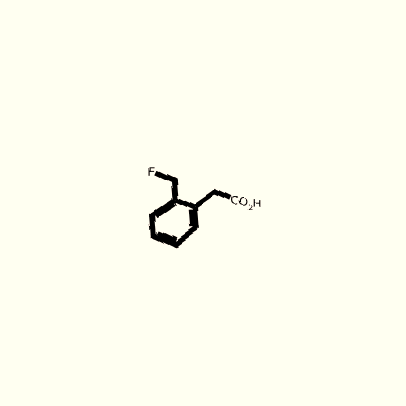 O=C(O)Cc1ccccc1CF